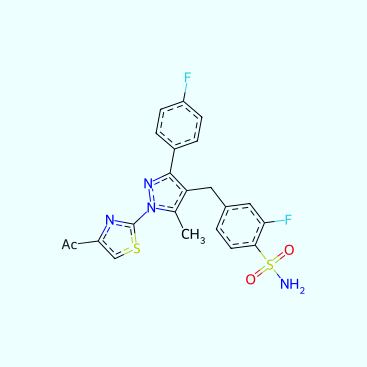 CC(=O)c1csc(-n2nc(-c3ccc(F)cc3)c(Cc3ccc(S(N)(=O)=O)c(F)c3)c2C)n1